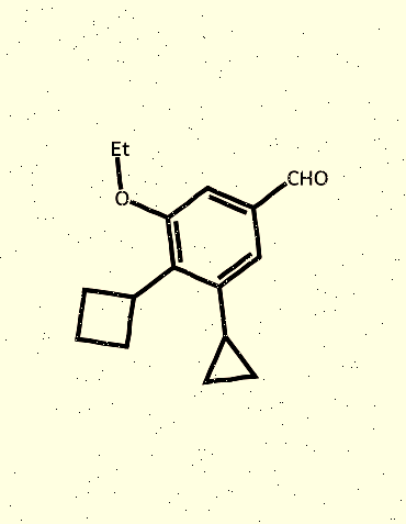 CCOc1cc(C=O)cc(C2CC2)c1C1CCC1